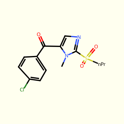 CCCS(=O)(=O)c1ncc(C(=O)c2ccc(Cl)cc2)n1C